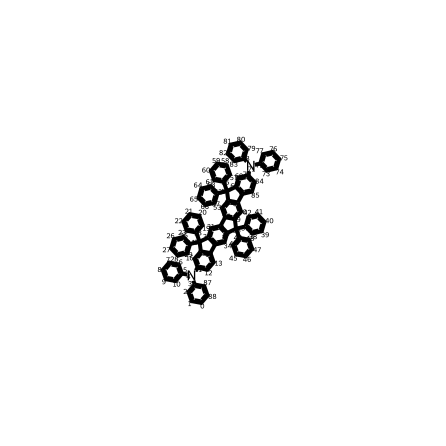 c1ccc(N(c2ccccc2)c2ccc3c(c2)C(c2ccccc2)(c2ccccc2)c2cc4c(cc2-3)C(c2ccccc2)(c2ccccc2)c2cc3c(cc2-4)C(c2ccccc2)(c2ccccc2)c2cc(N(c4ccccc4)c4ccccc4)ccc2-3)cc1